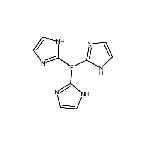 c1c[nH]c(P(c2ncc[nH]2)c2ncc[nH]2)n1